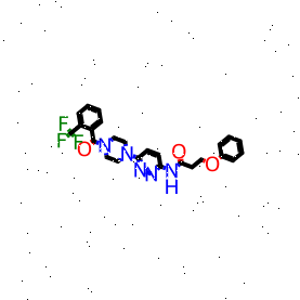 O=C(CCOc1ccccc1)Nc1ccc(N2CCN(C(=O)c3ccccc3C(F)(F)F)CC2)nn1